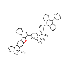 C=CC1=C(/C=C(\C)c2cc3ccccc3c3c2oc2cc4c(cc23)-c2ccccc2C4(C)C)c2ccc(-c3c4ccccc4c(-c4ccccc4)c4ccccc34)cc2C1(C)C